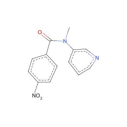 CN(C(=O)c1ccc([N+](=O)[O-])cc1)c1cccnc1